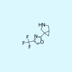 FC(F)(F)c1coc(C23CNCC2C3)n1